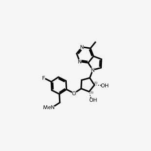 CNCc1cc(F)ccc1OC1CC(n2ccc3c(C)ncnc32)[C@H](O)[C@@H]1O